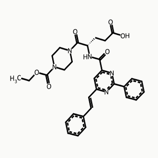 CCOC(=O)N1CCN(C(=O)[C@H](CCC(=O)O)NC(=O)c2cc(/C=C/c3ccccc3)nc(-c3ccccc3)n2)CC1